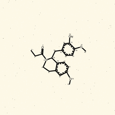 CCC(=O)N1CCc2cc(OC)ccc2C1Cc1ccc(OC)c(O)c1